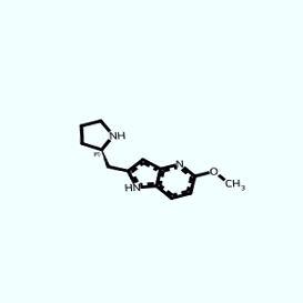 COc1ccc2[nH]c(C[C@H]3CCCN3)cc2n1